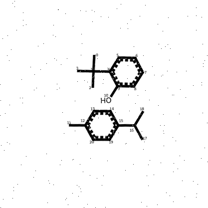 CC(C)(C)c1ccccc1O.Cc1ccc(C(C)C)cc1